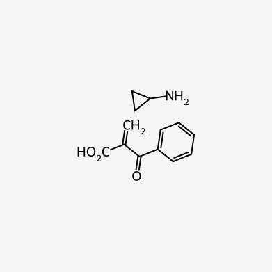 C=C(C(=O)O)C(=O)c1ccccc1.NC1CC1